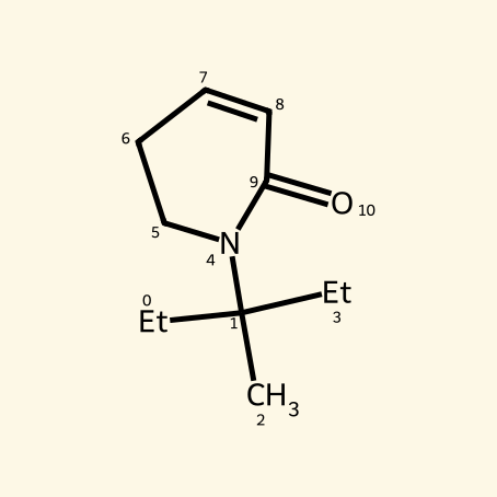 CCC(C)(CC)N1CCC=CC1=O